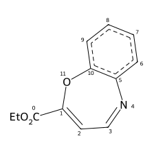 CCOC(=O)C1=CC=Nc2ccccc2O1